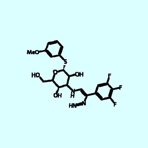 COc1cccc(S[C@H]2OC(CO)[C@H](O)C(N/C=C(\N=N)c3cc(F)c(F)c(F)c3)C2O)c1